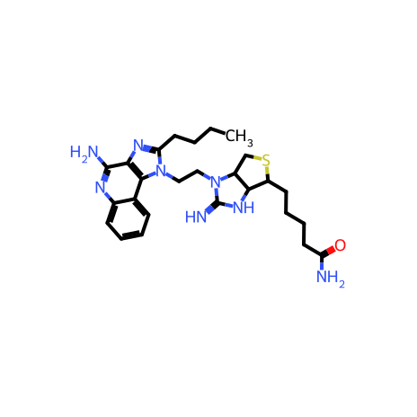 CCCCc1nc2c(N)nc3ccccc3c2n1CCN1C(=N)NC2C(CCCCC(N)=O)SCC21